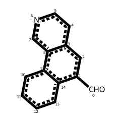 O=Cc1cc2ccncc2c2ccccc12